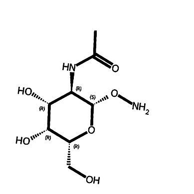 CC(=O)N[C@H]1[C@H](ON)O[C@H](CO)[C@H](O)[C@@H]1O